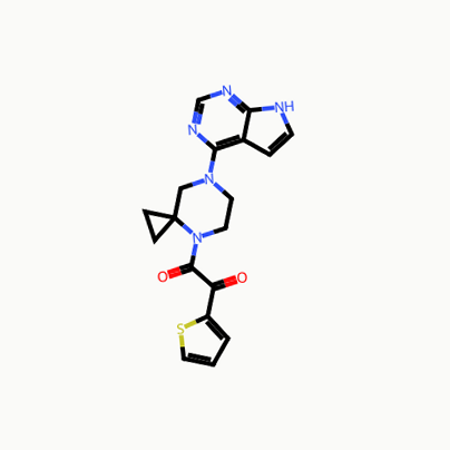 O=C(C(=O)N1CCN(c2ncnc3[nH]ccc23)CC12CC2)c1cccs1